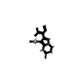 C=CC(=C(C)C)c1nn2c(c1C(=O)OCC)O[C@H](C)CC2